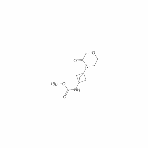 CC(C)(C)OC(=O)NC12CC(N3CCOCC3=O)(C1)C2